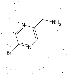 NCc1cnc(Br)cn1